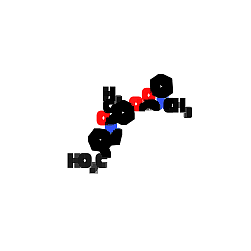 Cc1cc(OC[C@@H]2CN(C)c3ccccc3O2)ccc1C(=O)n1ccc2c(CC(=O)O)cccc21